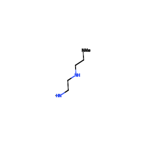 CNCCNCC[NH]